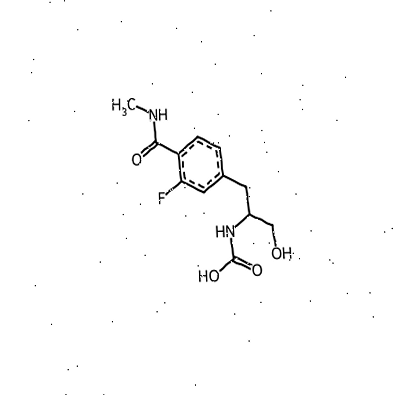 CNC(=O)c1ccc(CC(CO)NC(=O)O)cc1F